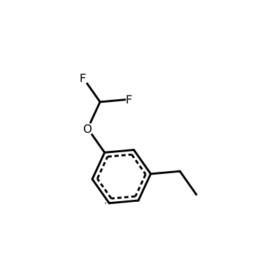 CCc1c[c]cc(OC(F)F)c1